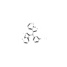 Oc1cccc(C(c2c[nH]c3ncccc23)c2c[nH]c3ncccc23)c1